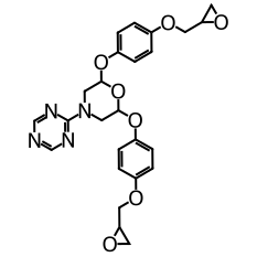 c1ncnc(N2CC(Oc3ccc(OCC4CO4)cc3)OC(Oc3ccc(OCC4CO4)cc3)C2)n1